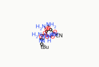 Cc1nc(C2=CCC(C(C)(C)C)CC2)nc(C)c1C(=O)NC(CCN)C(=O)N(C)C1C(=O)NC(C)C(=O)NC(C(=O)NCC#N)Cc2ccc(OCCN)c(c2)-c2cc1ccc2OCCN